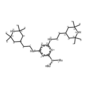 CCCCN(CCCC)c1nc(NCCC2CC(C)(C)NC(C)(C)C2)nc(NCCC2CC(C)(C)NC(C)(C)C2)n1